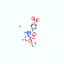 CC(C)CC(NC(=O)c1ccc([N+](=O)[O-])cc1)C(=O)OC1CCCC1